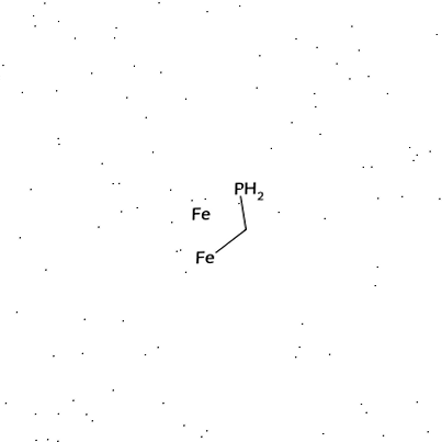 P[CH2][Fe].[Fe]